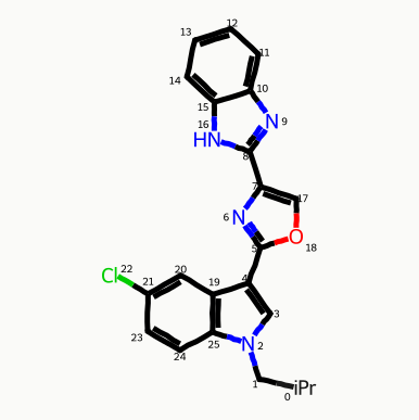 CC(C)Cn1cc(-c2nc(-c3nc4ccccc4[nH]3)co2)c2cc(Cl)ccc21